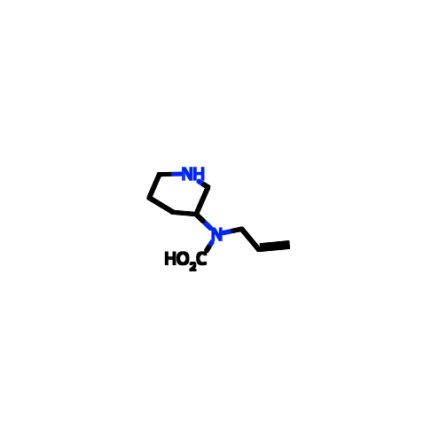 C=CCN(C(=O)O)C1CCCNC1